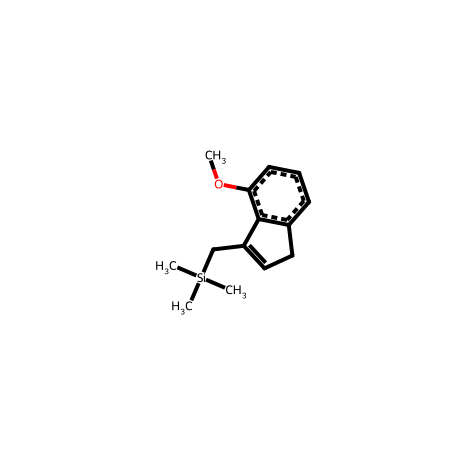 COc1cccc2c1C(C[Si](C)(C)C)=CC2